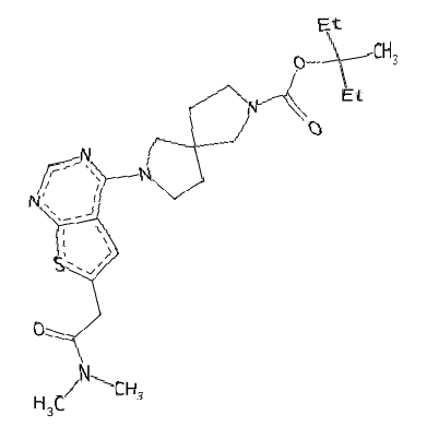 CCC(C)(CC)OC(=O)N1CCC2(CCN(c3ncnc4sc(CC(=O)N(C)C)cc34)C2)C1